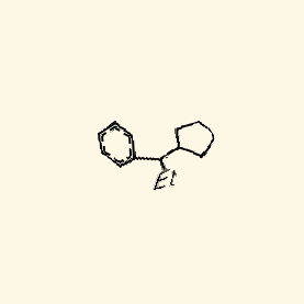 CC[C](c1ccccc1)C1CCCC1